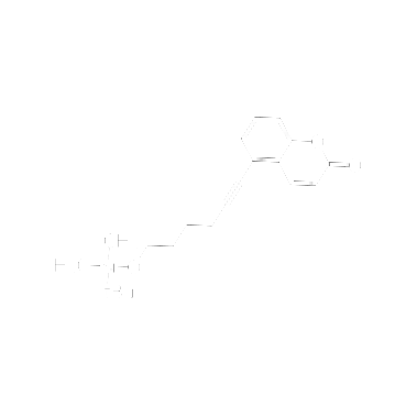 CC(C)(C)[Si](C)(C)OCCCCC#Cc1cccc2oc(=O)ccc12